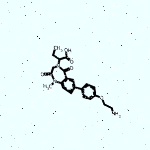 CCC(C(=O)O)N1CC(=O)N(C)c2ccc(-c3ccc(OCCN)cc3)cc2C1=O